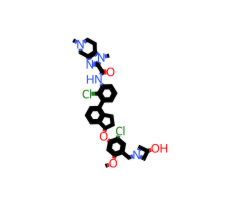 COc1cc(OC2CCc3c(-c4cccc(NC(=O)c5nc6c(n5C)CCN(C)C6)c4Cl)cccc32)c(Cl)cc1CN1CC(O)C1